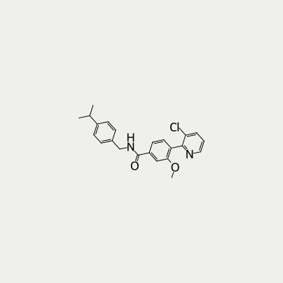 COc1cc(C(=O)NCc2ccc(C(C)C)cc2)ccc1-c1ncccc1Cl